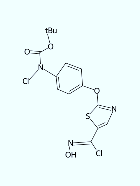 CC(C)(C)OC(=O)N(Cl)c1ccc(Oc2ncc(C(Cl)=NO)s2)cc1